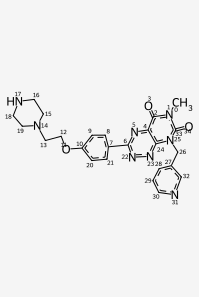 Cn1c(=O)c2nc(-c3ccc(OCCN4CCNCC4)cc3)nnc2n(Cc2cccnc2)c1=O